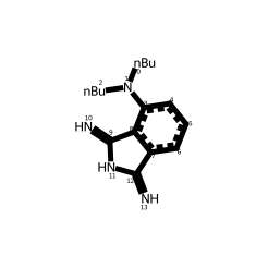 CCCCN(CCCC)c1cccc2c1C(=N)NC2=N